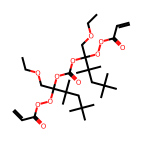 C=CC(=O)OOC(COCC)(OC(=O)OC(COCC)(OOC(=O)C=C)C(C)(C)CC(C)(C)C)C(C)(C)CC(C)(C)C